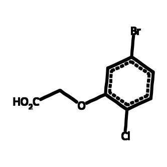 O=C(O)COc1cc(Br)ccc1Cl